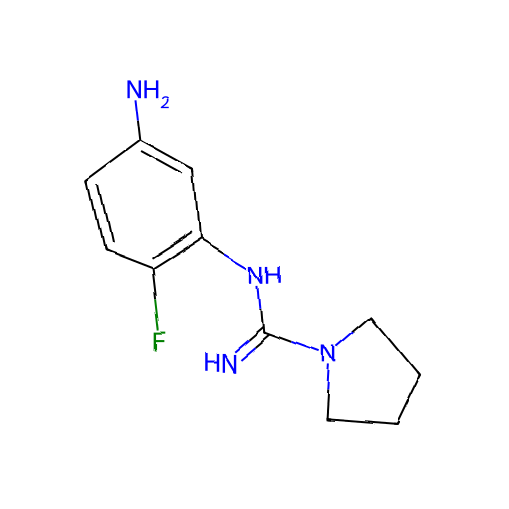 N=C(Nc1cc(N)ccc1F)N1CCCC1